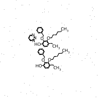 CCCCCCOc1c(CC)ccc(O)c1OCc1ccccc1.CCCCCCOc1c(CC)ccc(O)c1OCc1ccccc1.c1cnnnc1